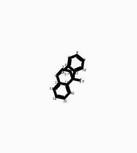 IC12CCC(Sc3ccccc31)c1ccccc12